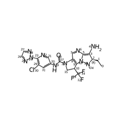 CC[C@@H]1C(N)=C2N=CC3=C(C(C(F)(F)F)CN3C(=O)Nc3cnc(-n4nccn4)c(Cl)c3)N2N1C